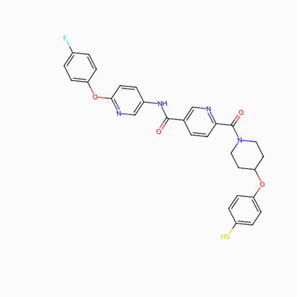 O=C(Nc1ccc(Oc2ccc(F)cc2)nc1)c1ccc(C(=O)N2CCC(Oc3ccc(S)cc3)CC2)nc1